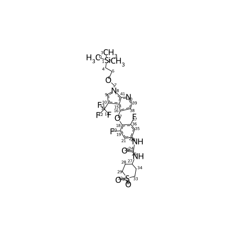 C[Si](C)(C)CCOCn1cc(C(F)(F)F)c2c(Oc3c(F)cc(NC(=O)NC4CCS(=O)(=O)CC4)cc3F)ccnc21